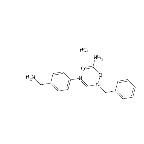 Cl.NCc1ccc(N=CN(Cc2ccccc2)OC(N)=O)cc1